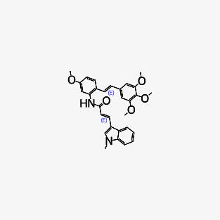 COc1ccc(/C=C/c2cc(OC)c(OC)c(OC)c2)c(NC(=O)/C=C/c2cn(C)c3ccccc23)c1